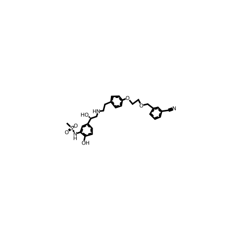 CS(=O)(=O)Nc1cc([C@@H](O)CNCCc2ccc(OCCOCc3cccc(C#N)c3)cc2)ccc1O